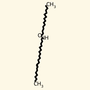 CCCCCCCCC=CCCCCCCCCCCCCNC(=O)CCCCCCCCCCCCCCC